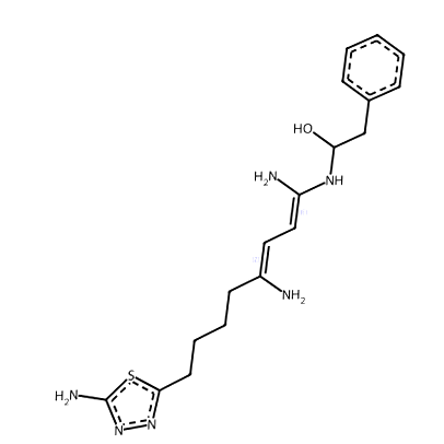 N/C(=C\C=C(/N)NC(O)Cc1ccccc1)CCCCc1nnc(N)s1